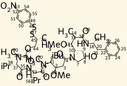 CC[C@H](C)[C@@H]([C@@H](CC(=O)N1CCC[C@H]1[C@H](OC)[C@@H](C)C(=O)N[C@H](C)[C@@H](O)c1ccccc1)OC)N(C)C(=O)[C@@H](NC(=O)[C@H](C(C)C)N(C)C(=O)OC[C@@H](C)SSc1ccc([N+](=O)[O-])cc1)C(C)C